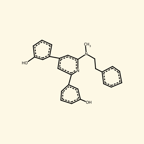 CN(CCc1ccccc1)c1cc(-c2cccc(O)c2)cc(-c2cccc(O)c2)n1